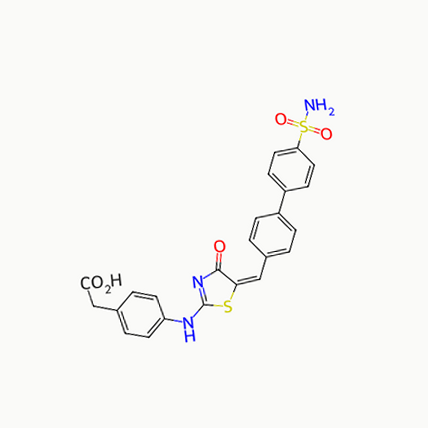 NS(=O)(=O)c1ccc(-c2ccc(/C=C3/SC(Nc4ccc(CC(=O)O)cc4)=NC3=O)cc2)cc1